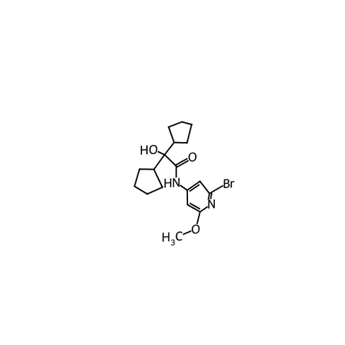 COc1cc(NC(=O)C(O)(C2CCCC2)C2CCCC2)cc(Br)n1